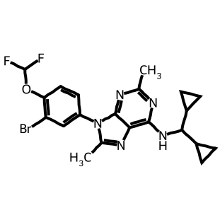 Cc1nc(NC(C2CC2)C2CC2)c2nc(C)n(-c3ccc(OC(F)F)c(Br)c3)c2n1